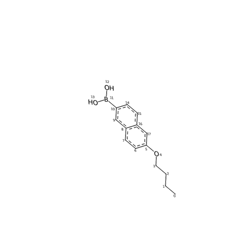 CCCCOc1ccc2cc(B(O)O)ccc2c1